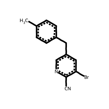 Cc1ccc(Cc2cnc(C#N)c(Br)c2)cc1